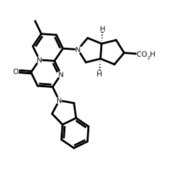 Cc1cc(N2C[C@H]3CC(C(=O)O)C[C@H]3C2)c2nc(N3Cc4ccccc4C3)cc(=O)n2c1